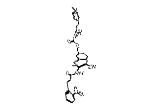 CCOc1ccccc1C=CC(=O)Nc1sc2c(c1C#N)CCC(COC(=O)NCCn1ccnc1)C2